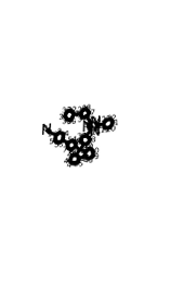 N#Cc1ccc(-c2ccc(C3(c4ccc(-c5nc(-c6ccccc6)nc(-c6cccc(-c7ccccc7)c6)n5)cc4)c4ccccc4-c4ccccc43)cc2)cc1